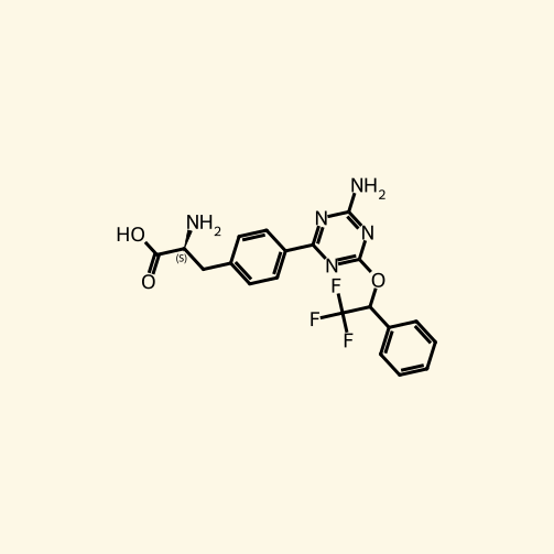 Nc1nc(OC(c2ccccc2)C(F)(F)F)nc(-c2ccc(C[C@H](N)C(=O)O)cc2)n1